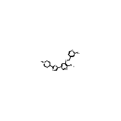 CCc1cc(COc2cc(-c3cnc(C4CCN(C)CC4)s3)cnc2N)ccn1